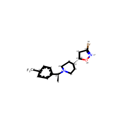 C[C@@H](c1ccc(C(F)(F)F)cc1)N1CCC([C@@H]2CC(Br)=NO2)CC1